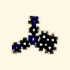 c1ccc2c(c1)-c1ccccc1C21c2ccccc2-c2ccc(-c3nc(-c4ccc(-n5ccnc5)cc4)nc(-c4ccc(-n5ccnc5)cc4)n3)cc21